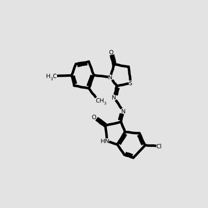 Cc1ccc(N2C(=O)CSC2=NN=C2C(=O)Nc3ccc(Cl)cc32)c(C)c1